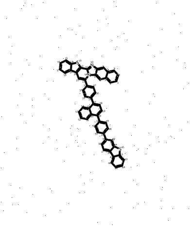 c1ccc2cc3c(cc2c1)nc1c2sc4ccccc4c2cc(-c2ccc(-c4ccc(-c5ccc(-c6ccc7c(c6)sc6ccccc67)cc5)c5ccccc45)cc2)n31